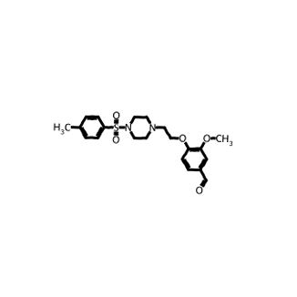 COc1cc(C=O)ccc1OCCN1CCN(S(=O)(=O)c2ccc(C)cc2)CC1